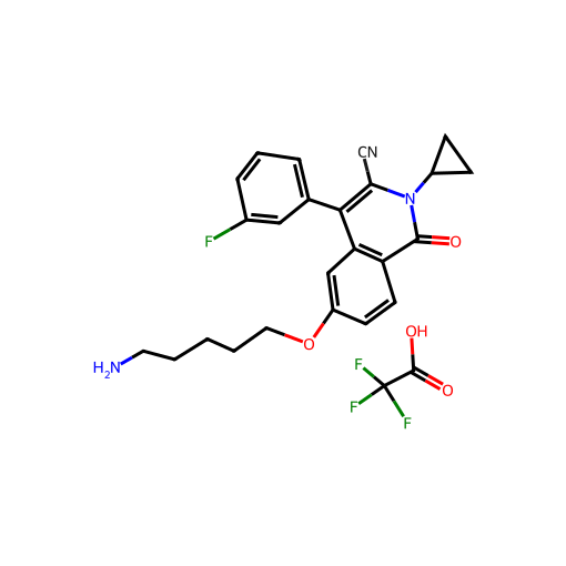 N#Cc1c(-c2cccc(F)c2)c2cc(OCCCCCN)ccc2c(=O)n1C1CC1.O=C(O)C(F)(F)F